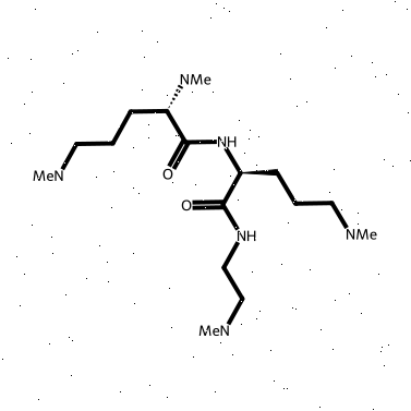 CNCCC[C@H](NC)C(=O)N[C@@H](CCCNC)C(=O)NCCNC